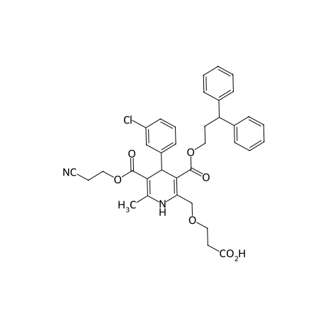 CC1=C(C(=O)OCCC#N)C(c2cccc(Cl)c2)C(C(=O)OCCC(c2ccccc2)c2ccccc2)=C(COCCC(=O)O)N1